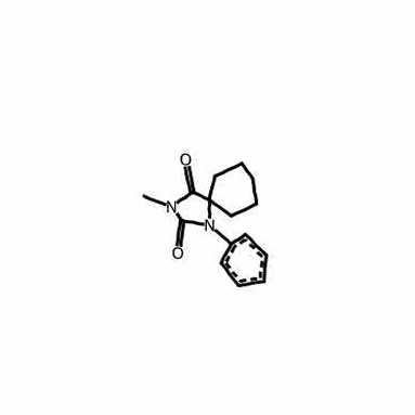 CN1C(=O)N(c2ccccc2)C2(CCCCC2)C1=O